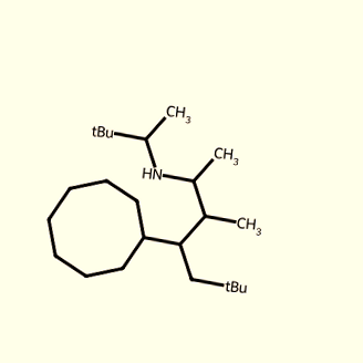 CC(NC(C)C(C)(C)C)C(C)C(CC(C)(C)C)C1CCCCCCC1